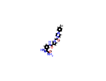 CC(=O)c1ccc(N2CCN(C(=O)CN3CC[C@@H](C(=O)Nc4ccc5[nH]nc(C(N)=O)c5c4)C3)CC2)cc1